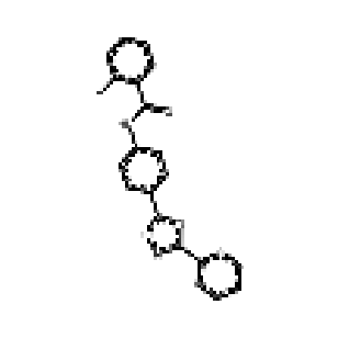 O=C(Nc1ccc(-c2nc(-c3ccccn3)no2)cc1)c1ccccc1F